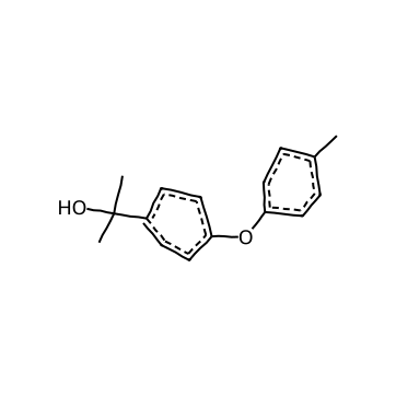 Cc1ccc(Oc2ccc(C(C)(C)O)cc2)cc1